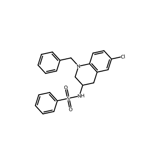 O=S(=O)(NC1Cc2cc(Cl)ccc2N(Cc2ccccc2)C1)c1ccccc1